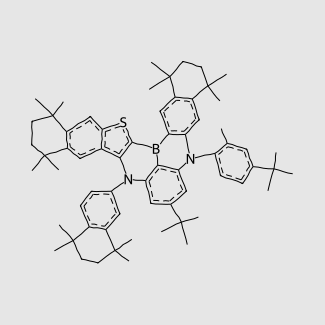 Cc1cc(C(C)(C)C)ccc1N1c2cc3c(cc2B2c4sc5cc6c(cc5c4N(c4ccc5c(c4)C(C)(C)CCC5(C)C)c4cc(C(C)(C)C)cc1c42)C(C)(C)CCC6(C)C)C(C)(C)CCC3(C)C